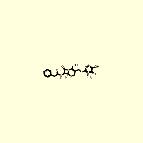 Cn1c(SCC2=C(C(=O)O)N3C(=O)C(NC(=O)Cc4ccccc4)[C@@H]3SC2)nnc(O)c1=O